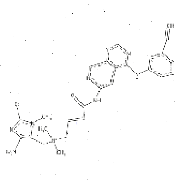 C#Cc1cccc(Nc2ncnc3cnc(NC(=O)/C=C/C[N+](C)(C)Cc4c([N+](=O)[O-])nc(CC)n4C)cc23)c1